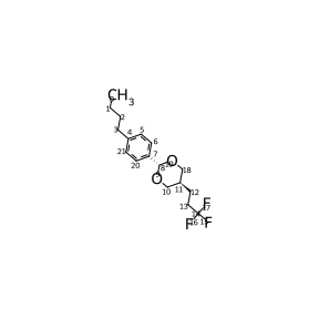 CCCCc1ccc([C@H]2OC[C@H](CCC(F)(F)F)CO2)cc1